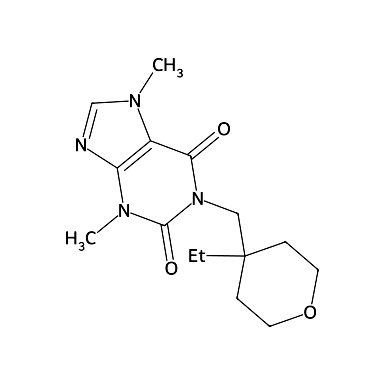 CCC1(Cn2c(=O)c3c(ncn3C)n(C)c2=O)CCOCC1